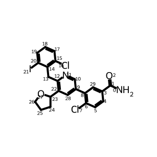 NC(=O)c1ccc(Cl)c(-c2cnc(Cc3c(Cl)cccc3I)c(C3CCCO3)c2)c1